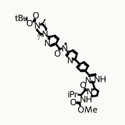 COC(=O)NC(C(=O)N1CCCC1c1nc(-c2ccc(-c3ccc(N(C)C(=O)c4ccc(N5C[C@H](C)N(C(=O)OC(C)(C)C)C[C@H]5C)nc4)cn3)cc2)c[nH]1)C(C)C